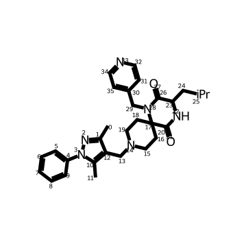 Cc1nn(-c2ccccc2)c(C)c1CN1CCC2(CC1)C(=O)NC(CC(C)C)C(=O)N2Cc1ccncc1